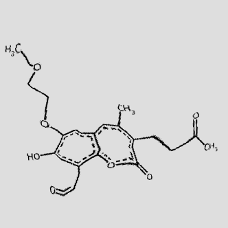 COCCOc1cc2c(C)c(CCC(C)=O)c(=O)oc2c(C=O)c1O